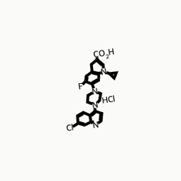 Cl.O=C(O)C1=CN(C2CC2)c2cc(N3CCN(c4ccnc5cc(Cl)ccc45)CC3)c(F)cc2C1